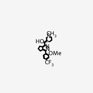 COc1cc(C(F)(F)F)ccc1-c1nnc([C@H](O)[C@@H]2CCCN(C)C2)c2c1CCC2